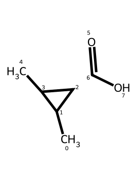 CC1CC1C.O=CO